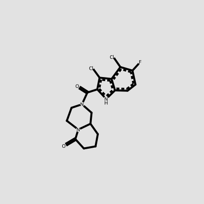 O=C(c1[nH]c2ccc(F)c(Cl)c2c1Cl)N1CCN2C(=O)CCCC2C1